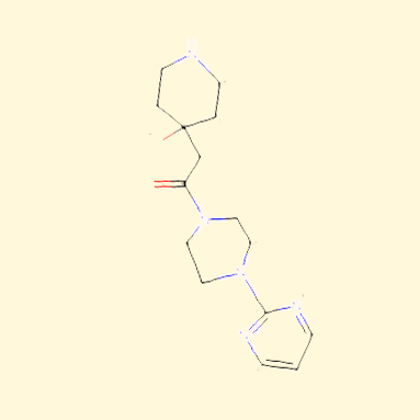 O=C(CC1(O)CCNCC1)N1CCN(c2ncccn2)CC1